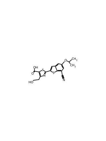 CC(C)Oc1cc(C#N)c2sc(-c3nc(CCO)c(C(=O)O)s3)cc2c1